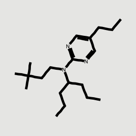 CCCc1cnc(N(CCC(C)(C)C)C(CCC)CCC)nc1